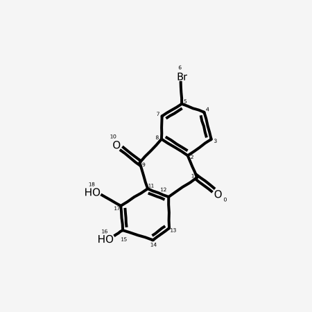 O=C1c2ccc(Br)cc2C(=O)c2c1ccc(O)c2O